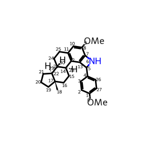 COc1ccc(C2Nc3c(OC)cc4c(c32)[C@H]2CC[C@]3(C)CCC[C@H]3[C@@H]2CC4)cc1